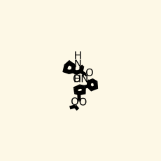 CC(C)OC(=O)c1cccc(-c2ccccc2NC(=O)c2c[nH]c3ccccc3c2=O)c1